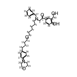 O=C(CN(CCCCCCOCCCCc1ccc(N2CCOCC2)cc1)Cc1ccccc1)c1ccc(O)c(CO)c1